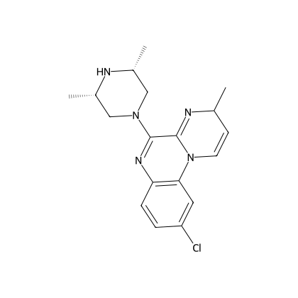 CC1C=CN2C(=N1)C(N1C[C@@H](C)N[C@@H](C)C1)=Nc1ccc(Cl)cc12